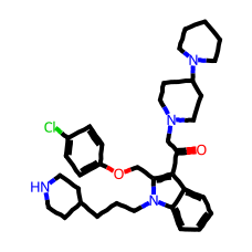 O=C(CN1CCC(N2CCCCC2)CC1)c1c(COc2ccc(Cl)cc2)n(CCCC2CCNCC2)c2ccccc12